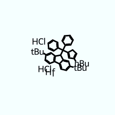 CCCCC1=CCC(C(c2ccccc2)(c2ccccc2)C2c3cc(C(C)(C)C)ccc3-c3ccc(C(C)(C)C)cc32)=C1.Cl.Cl.[Hf]